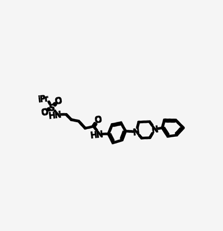 CC(C)S(=O)(=O)NCCCCC(=O)Nc1ccc(N2CCN(c3ccccc3)CC2)cc1